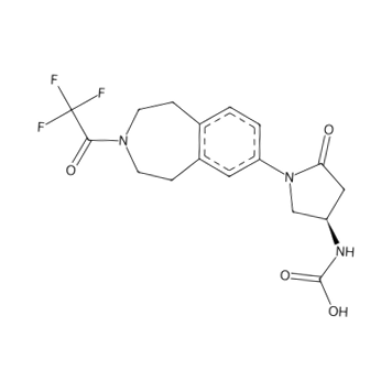 O=C(O)N[C@@H]1CC(=O)N(c2ccc3c(c2)CCN(C(=O)C(F)(F)F)CC3)C1